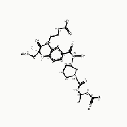 CCC(=O)NCCN1C(=O)[C@](C)(COC)Oc2ccc(C(=O)N(C(C)C)[C@@H]3CCCN(C(=O)OC(C)OC(=O)C(C)C)C3)cc21